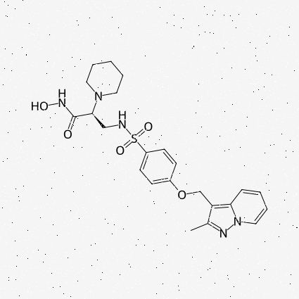 Cc1nn2ccccc2c1COc1ccc(S(=O)(=O)NC[C@@H](C(=O)NO)N2CCCCC2)cc1